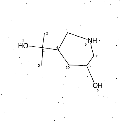 CC(C)(O)C1CNCC(O)C1